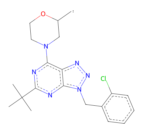 [CH]C1CN(c2nc(C(C)(C)C)nc3c2nnn3Cc2ccccc2Cl)CCO1